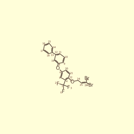 FC(F)(F)c1cc(Oc2cccc(-c3ccccc3)c2)ccc1OCC=C(Br)Br